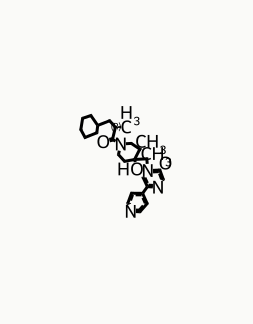 C[C@H](CC1CCCCC1)C(=O)N1CCC(O)(Cn2cc(-c3ccncc3)ncc2=O)C(C)(C)C1